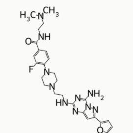 CN(C)CCNC(=O)c1ccc(N2CCN(CCNc3nc(N)n4nc(-c5ccco5)cc4n3)CC2)c(F)c1